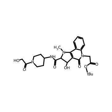 CN1c2c(c(=O)n(CC(=O)OC(C)(C)C)c3ccccc23)C(O)C1C(=O)NC1CCN(C(=O)CO)CC1